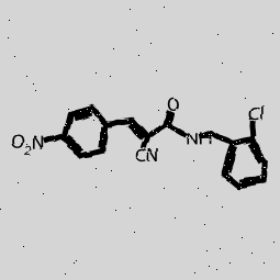 N#C/C(=C\c1ccc([N+](=O)[O-])cc1)C(=O)NCc1ccccc1Cl